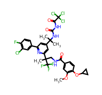 COc1cc(C(=O)NCC(C)(c2cc(C(C)(C)NC(=O)NC(=O)C(Cl)(Cl)Cl)cc(-c3ccc(F)c(Cl)c3)n2)C(F)(F)F)ccc1OC1CC1